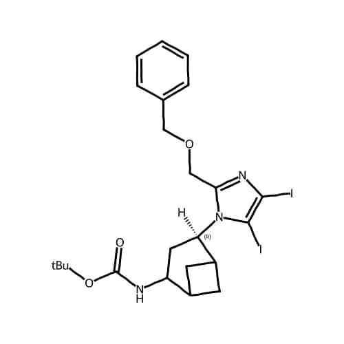 CC(C)(C)OC(=O)NC1C[C@@H](n2c(COCc3ccccc3)nc(I)c2I)C2CC1C2